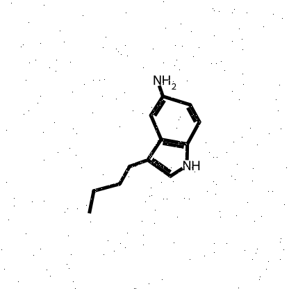 CCCCc1c[nH]c2ccc(N)cc12